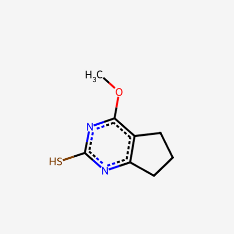 COc1nc(S)nc2c1CCC2